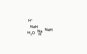 O.[H+].[NaH].[NaH].[NaH]